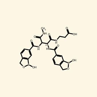 CNC(=O)C(NC(=O)c1ccc2c(c1)B(O)OC2)[C@H](NC(=O)c1ccc2c(c1)B(O)OC2)C(=O)NCCC(=O)O